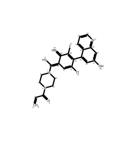 C=CC(=O)N1CCN(/C(S)=C2\C=C(Cl)C(c3cc(O)cc4ncccc34)=C(F)C2=N)CC1